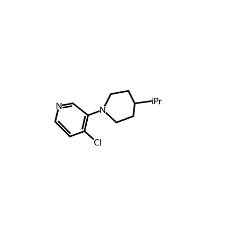 CC(C)C1CCN(c2cnccc2Cl)CC1